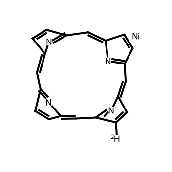 [2H]C1=CC2=CC3=NC(=CC4=NC(=CC5=NC(=CC1=N2)C=C5)C=C4)C=C3.[Ni]